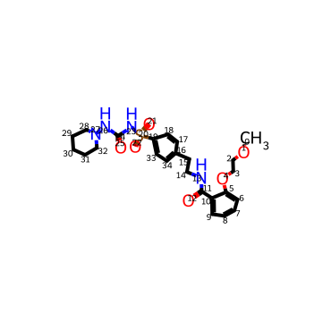 COCCOc1ccccc1C(=O)NCCc1ccc(S(=O)(=O)NC(=O)NN2CCCCC2)cc1